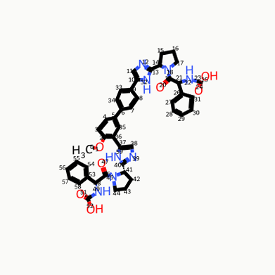 COc1ccc(-c2ccc(-c3cnc(C4CCCN4C(=O)C(NC(=O)O)c4ccccc4)[nH]3)cc2)cc1-c1cnc([C@@H]2CCCN2C(=O)[C@H](NC(=O)O)c2ccccc2)[nH]1